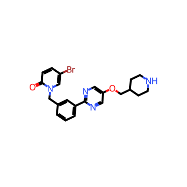 O=c1ccc(Br)cn1Cc1cccc(-c2ncc(OCC3CCNCC3)cn2)c1